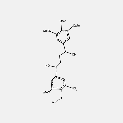 CCCOc1c(OC)cc(C(O)CCC(O)c2cc(OC)c(OC)c(OC)c2)cc1[N+](=O)[O-]